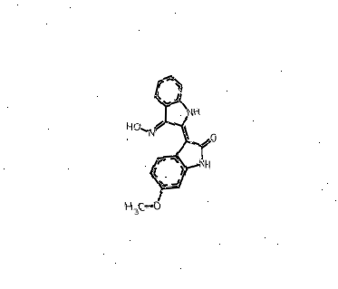 COc1ccc2c(c1)NC(=O)/C2=C1\Nc2ccccc2\C1=N/O